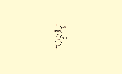 CC(C)(CC(=N)C(=O)O)N1CCC(=O)CC1